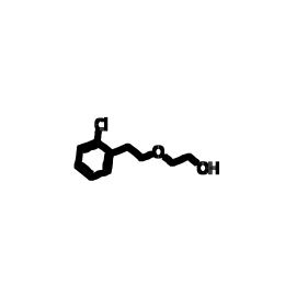 OCCOCCc1ccccc1Cl